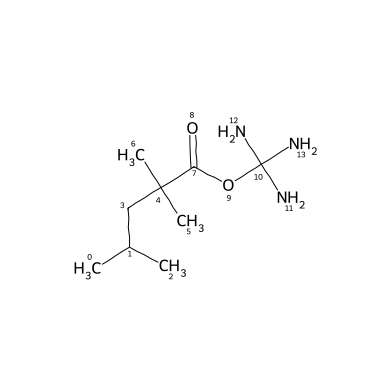 CC(C)CC(C)(C)C(=O)OC(N)(N)N